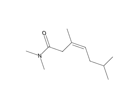 C/C(=C/CC(C)C)CC(=O)N(C)C